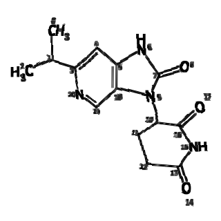 CC(C)c1cc2[nH]c(=O)n(C3CCC(=O)NC3=O)c2cn1